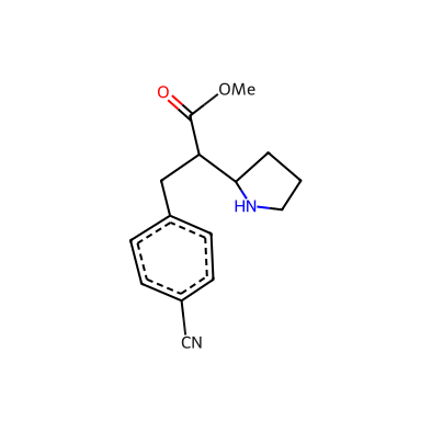 COC(=O)C(Cc1ccc(C#N)cc1)C1CCCN1